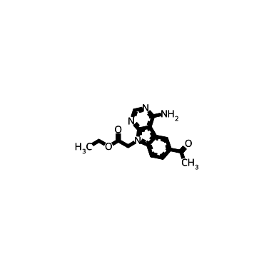 CCOC(=O)Cn1c2ccc(C(C)=O)cc2c2c(N)ncnc21